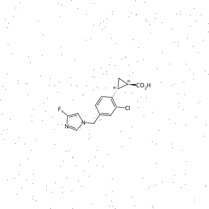 O=C(O)[C@@H]1C[C@H]1c1ccc(Cn2cnc(F)c2)cc1Cl